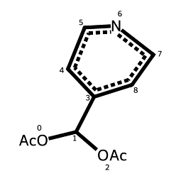 CC(=O)OC(OC(C)=O)c1ccncc1